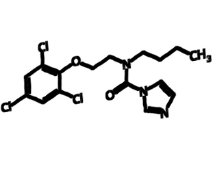 CCCCN(CCOc1c(Cl)cc(Cl)cc1Cl)C(=O)n1ccnc1